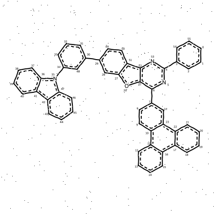 c1ccc(-c2nc(-c3ccc4c5ccccc5c5ccccc5c4c3)c3oc4cc(-c5cccc(-n6c7ccccc7c7ccccc76)c5)ccc4c3n2)cc1